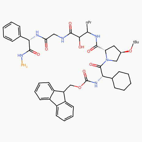 CCCC(NC(=O)[C@@H]1C[C@@H](OC(C)(C)C)CN1C(=O)[C@@H](NC(=O)OCC1c2ccccc2-c2ccccc21)C1CCCCC1)C(O)C(=O)NCC(=O)N[C@H](C(=O)NP)c1ccccc1